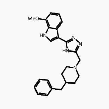 COc1cccc2c(-c3nnc(CN4CCC(Cc5ccccc5)CC4)[nH]3)c[nH]c12